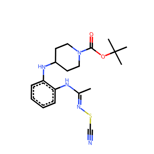 CC(=NSC#N)Nc1ccccc1NC1CCN(C(=O)OC(C)(C)C)CC1